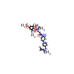 COc1cc(C)c(S(=O)(=O)N(C)CCC(=O)NC2CCC(N3CCC(CN(C)C4CC4)CC3)CC2)c(C)c1